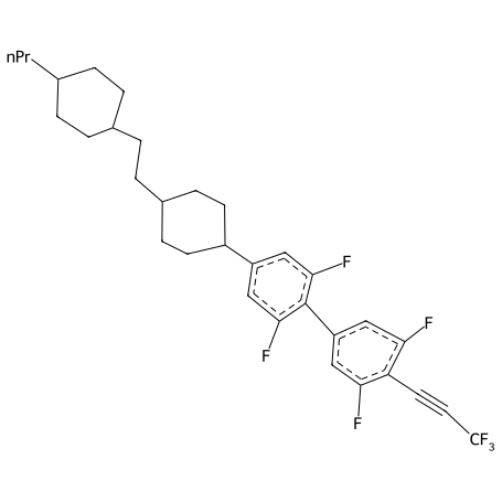 CCCC1CCC(CCC2CCC(c3cc(F)c(-c4cc(F)c(C#CC(F)(F)F)c(F)c4)c(F)c3)CC2)CC1